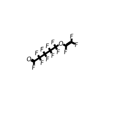 O=C(F)C(F)(F)C(F)(F)C(F)(F)C(F)(F)OC(F)=C(F)F